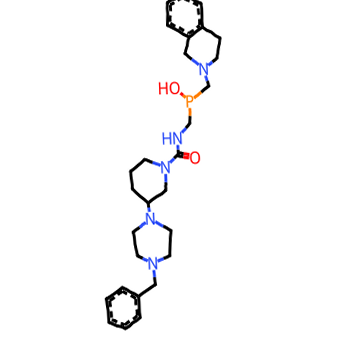 O=C(NCP(O)CN1CCc2ccccc2C1)N1CCCC(N2CCN(Cc3ccccc3)CC2)C1